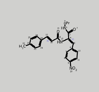 CCCNC(=O)/C(=C/c1ccc([N+](=O)[O-])cc1)NC(=O)/C=C/c1ccc(C)cc1